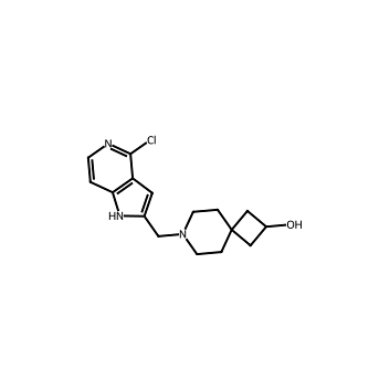 OC1CC2(CCN(Cc3cc4c(Cl)nccc4[nH]3)CC2)C1